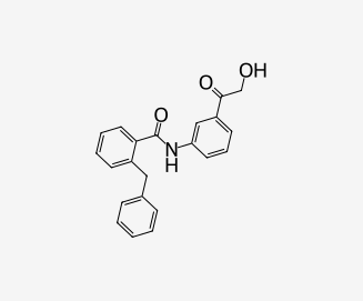 O=C(CO)c1cccc(NC(=O)c2ccccc2Cc2ccccc2)c1